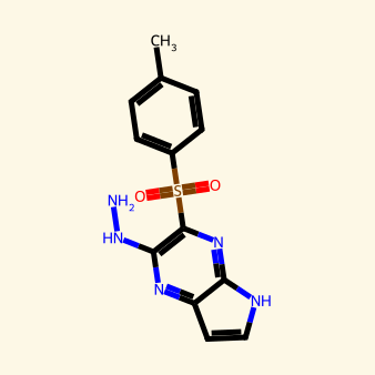 Cc1ccc(S(=O)(=O)c2nc3[nH]ccc3nc2NN)cc1